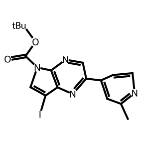 Cc1cc(-c2cnc3c(n2)c(I)cn3C(=O)OC(C)(C)C)ccn1